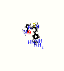 CN(C)C(=O)C1CCCN1Cc1scnc1CCc1ccc(NC(=N)N)cc1